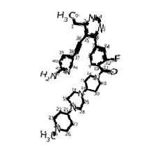 CCc1ncnc(-c2ccc(C(=O)N3CCC(N4CCN(C5CCN(C)CC5)CC4)CC3)c(F)c2)c1C#Cc1ccc(N)nc1